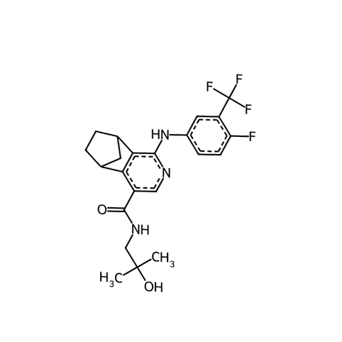 CC(C)(O)CNC(=O)c1cnc(Nc2ccc(F)c(C(F)(F)F)c2)c2c1C1CCC2C1